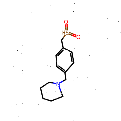 O=[SH](=O)Cc1ccc(CN2CCCCC2)cc1